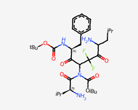 CC(C)COC(=O)N(C(=O)[C@@H](N)C(C)C)C(C(=O)[C@H](Cc1ccccc1)NC(=O)OC(C)(C)C)C(F)(F)C(=O)C(N)CC(C)C